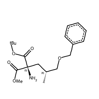 COC(=O)[C@@](N)(C[C@@H](C)COCc1ccccc1)C(=O)OC(C)(C)C